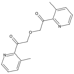 Cc1cccnc1C(=O)COCC(=O)c1ncccc1C